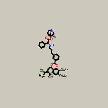 C=C(Cl)/C(CC(OC(=O)c1cccc(CCCNC(C(=O)O[C@H]2CN3CCC2CC3)c2ccccc2)c1)c1ccc(OC)c(OC)c1)=C(\C)Cl